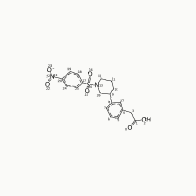 O=C(O)Cc1cccc(C2CCCN(S(=O)(=O)c3ccc([N+](=O)[O-])cc3)C2)c1